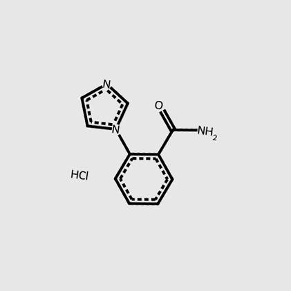 Cl.NC(=O)c1ccccc1-n1ccnc1